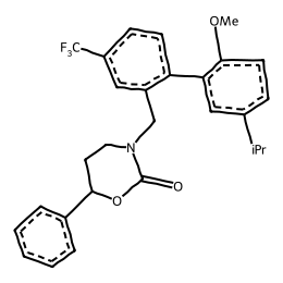 COc1ccc(C(C)C)cc1-c1ccc(C(F)(F)F)cc1CN1CCC(c2ccccc2)OC1=O